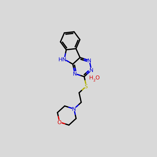 O.c1ccc2c(c1)[nH]c1nc(SCCN3CCOCC3)nnc12